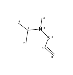 C=CSN(C)C(C)C